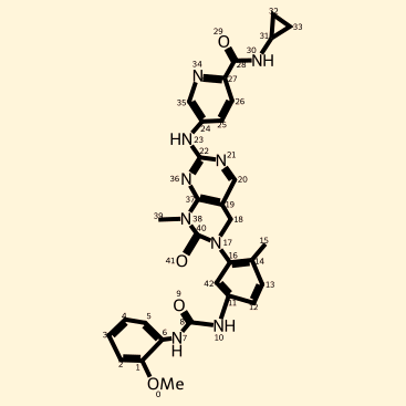 COc1ccccc1NC(=O)Nc1ccc(C)c(N2Cc3cnc(Nc4ccc(C(=O)NC5CC5)nc4)nc3N(C)C2=O)c1